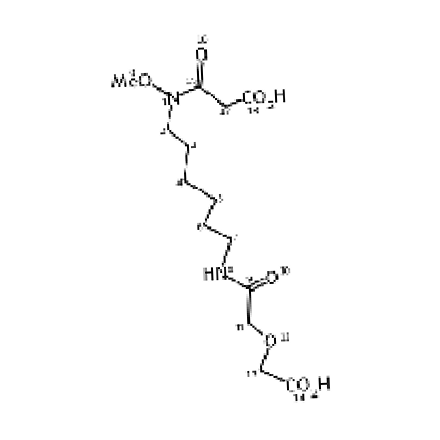 CON(CCCCCCNC(=O)COCC(=O)O)C(=O)CC(=O)O